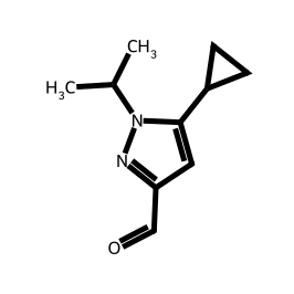 CC(C)n1nc(C=O)cc1C1CC1